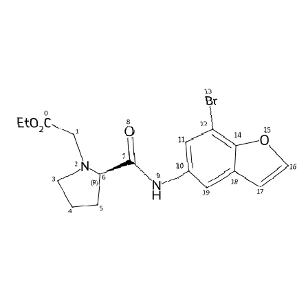 CCOC(=O)CN1CCC[C@@H]1C(=O)Nc1cc(Br)c2occc2c1